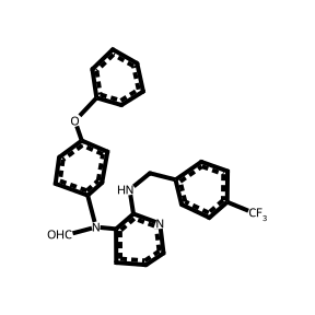 O=CN(c1ccc(Oc2ccccc2)cc1)c1cccnc1NCc1ccc(C(F)(F)F)cc1